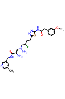 Cc1cncc(CNC(=O)/C(N)=C/N(N)CC(F)CCc2nnc(NC(=O)Cc3cccc(OC(F)(F)F)c3)s2)c1